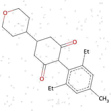 CCc1cc(C)cc(CC)c1C1C(=O)CC(C2CCOCC2)CC1=O